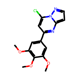 COc1cc(-c2cc(Cl)n3nccc3n2)cc(OC)c1OC